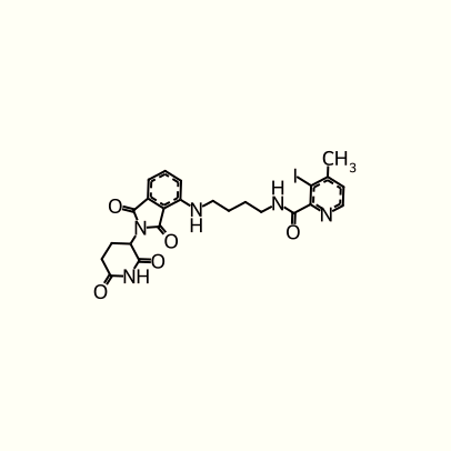 Cc1ccnc(C(=O)NCCCCNc2cccc3c2C(=O)N(C2CCC(=O)NC2=O)C3=O)c1I